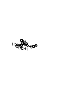 COc1ccc(OCCCNC(=O)CC(NS(=O)(=O)c2ccccc2)c2ccc(OCC(=O)O)c(C(=O)O)c2)cc1